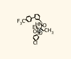 C/C=C(\C(=O)NCc1cccc(-c2ccc(C(F)(F)F)cc2)c1)N(CC)S(=O)(=O)c1ccc(Cl)cc1